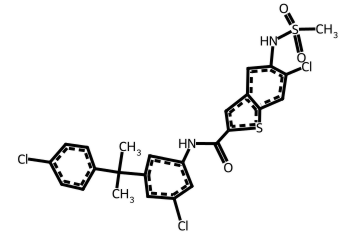 CC(C)(c1ccc(Cl)cc1)c1cc(Cl)cc(NC(=O)c2cc3cc(NS(C)(=O)=O)c(Cl)cc3s2)c1